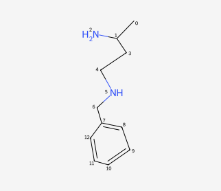 CC(N)CCNCc1ccccc1